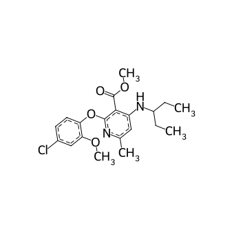 CCC(CC)Nc1cc(C)nc(Oc2ccc(Cl)cc2OC)c1C(=O)OC